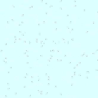 CCC(Oc1ccc(C(CC)(NCC(O)COc2ccccc2)NCC(O)COc2ccccc2)cc1)C(=O)O